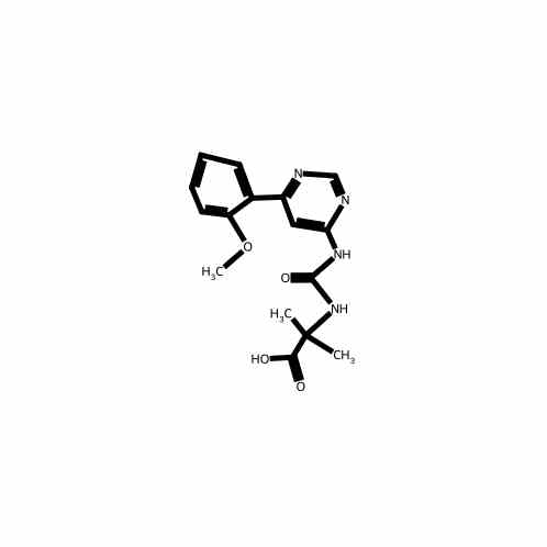 COc1ccccc1-c1cc(NC(=O)NC(C)(C)C(=O)O)ncn1